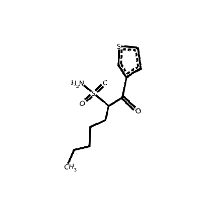 CCCCCC(C(=O)c1ccsc1)S(N)(=O)=O